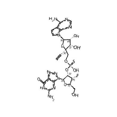 C#C[C@]1(COP(O)(=S)O[C@@H]2[C@H](F)[C@@H](CO)O[C@H]2n2nnc3c(=O)[nH]c(N)nc32)O[C@@H](n2ccc3c(N)ncnc32)[C@H](O)[C@@H]1O